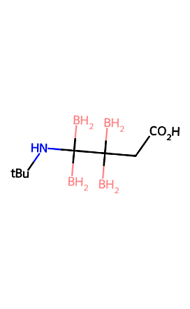 BC(B)(CC(=O)O)C(B)(B)NC(C)(C)C